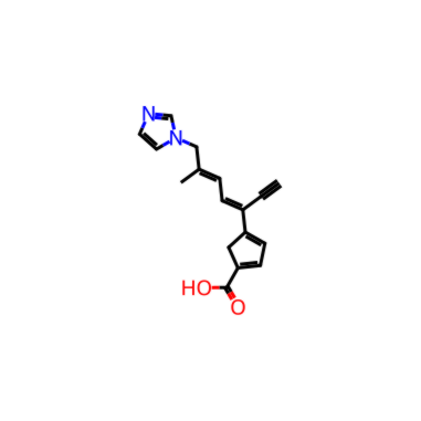 C#C/C(=C\C=C(/C)Cn1ccnc1)C1=CC=C(C(=O)O)C1